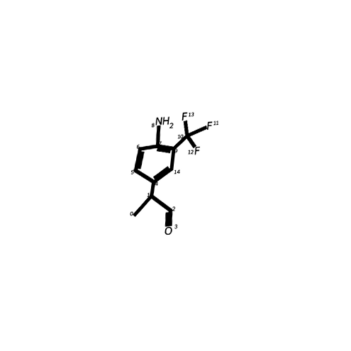 CC(C=O)c1ccc(N)c(C(F)(F)F)c1